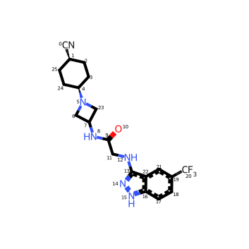 N#C[C@H]1CC[C@@H](N2CC(NC(=O)CNc3n[nH]c4ccc(C(F)(F)F)cc34)C2)CC1